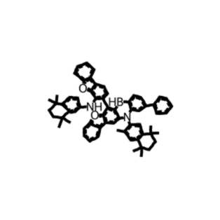 Cc1cc2c(cc1N1c3cc(-c4ccccc4)ccc3Bc3c1cc1c(oc4ccccc41)c3-c1ccc3c(oc4ccccc43)c1Nc1ccc3c(c1)C(C)(C)CCC3(C)C)C(C)(C)CCC2(C)C